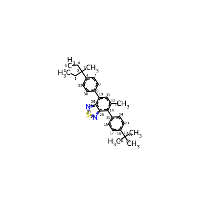 CCC(C)(CC)c1ccc(-c2cc(C)c(-c3ccc(C(C)(C)C)cc3)c3nsnc23)cc1